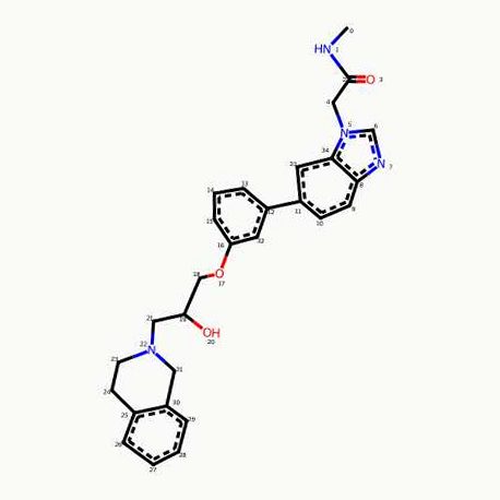 CNC(=O)Cn1cnc2ccc(-c3cccc(OCC(O)CN4CCc5ccccc5C4)c3)cc21